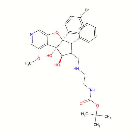 COc1cncc2c1[C@]1(O)[C@H](O)C(CNCCNC(=O)OC(C)(C)C)[C@@H](c3ccccc3)[C@]1(c1ccc(Br)cc1)O2